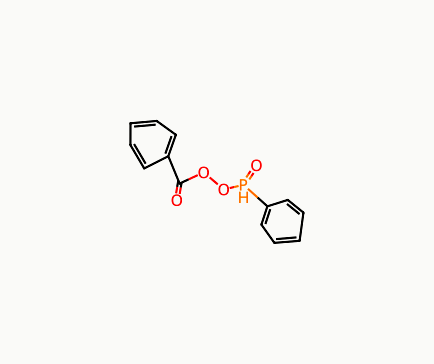 O=C(OO[PH](=O)c1ccccc1)c1ccccc1